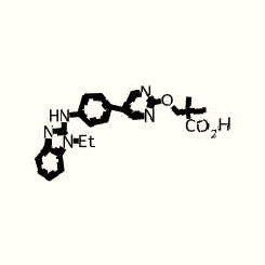 CCn1c(Nc2ccc(-c3cnc(OCC(C)(C)C(=O)O)nc3)cc2)nc2ccccc21